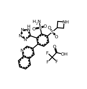 NS(=O)(=O)c1c(S(=O)(=O)C2CNC2)ccc(-c2cnc3ccccc3c2)c1-c1nnn[nH]1.O=C(O)C(F)(F)F